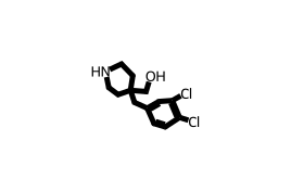 OCC1(Cc2ccc(Cl)c(Cl)c2)CCNCC1